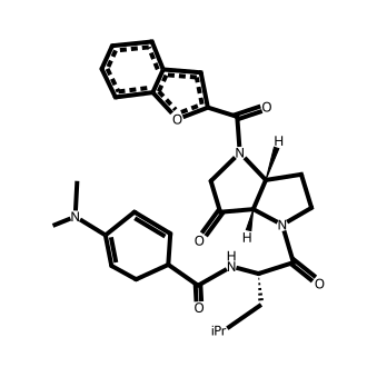 CC(C)C[C@H](NC(=O)C1C=CC(N(C)C)=CC1)C(=O)N1CC[C@@H]2[C@H]1C(=O)CN2C(=O)c1cc2ccccc2o1